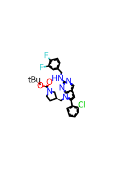 CC(C)(C)OC(=O)N1CC[C@H](Cn2c(-c3ccccc3Cl)cc3cnc(NCc4ccc(F)c(F)c4)nc32)C1